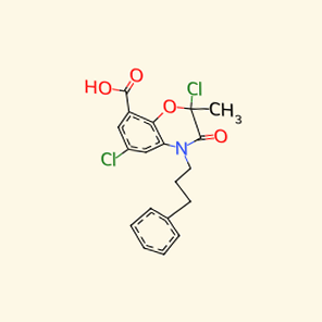 CC1(Cl)Oc2c(C(=O)O)cc(Cl)cc2N(CCCc2ccccc2)C1=O